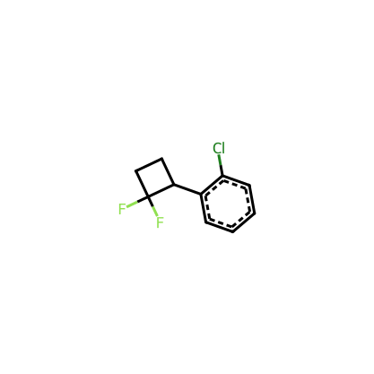 FC1(F)CCC1c1ccccc1Cl